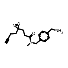 C#CCCC1(CCC(=O)N(C)Cc2ccc(CN)cc2)N=N1